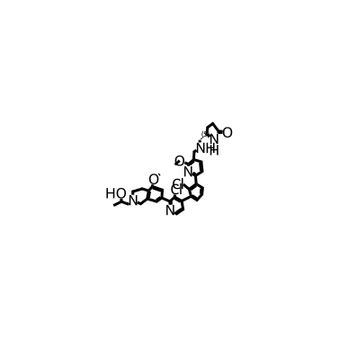 COc1cc(-c2nccc(-c3cccc(-c4ccc(CNC[C@@H]5CCC(=O)N5)c(OC)n4)c3Cl)c2Cl)cc2c1CCN(CC(C)O)C2